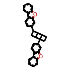 c1ccc2c(c1)oc1cc(C34C5C6C3C3C4C5C63c3ccc4c(c3)oc3ccccc34)ccc12